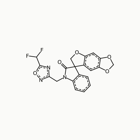 O=C1N(Cc2noc(C(F)F)n2)c2ccccc2C12COc1cc3c(cc12)OCO3